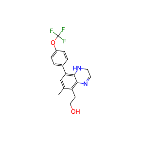 Cc1cc(-c2ccc(OC(F)(F)F)cc2)c2c(c1CCO)N=CCN2